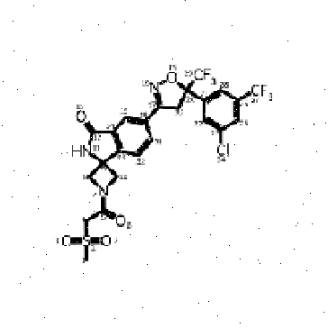 CS(=O)(=O)CC(=O)N1CC2(C1)NC(=O)c1cc(C3=NOC(c4cc(Cl)cc(C(F)(F)F)c4)(C(F)(F)F)C3)ccc12